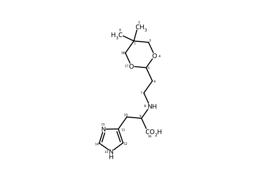 CC1(C)COC(CCNC(Cc2c[nH]cn2)C(=O)O)OC1